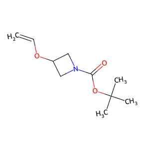 C=COC1CN(C(=O)OC(C)(C)C)C1